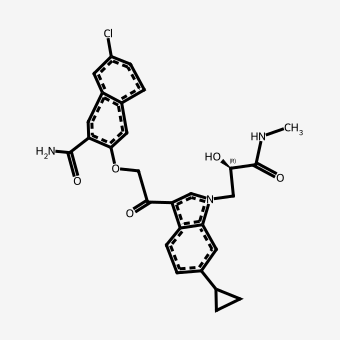 CNC(=O)[C@H](O)Cn1cc(C(=O)COc2cc3ccc(Cl)cc3cc2C(N)=O)c2ccc(C3CC3)cc21